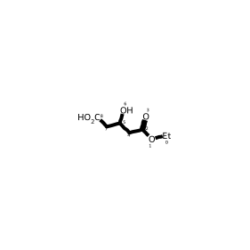 CCOC(=O)CC(O)CC(=O)O